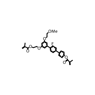 C=C(C)C(=O)OCCOc1cc(OCCOC)cc(-c2ccc(-c3ccc(OC(=O)C(=C)C)cc3)cc2F)c1